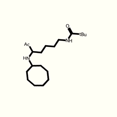 CC(=O)C(CCCCNC(=O)C(C)(C)C)NC1CCCCCCC1